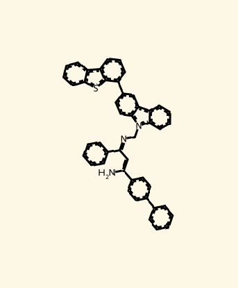 N/C(=C\C(=N/Cn1c2ccccc2c2cc(-c3cccc4c3sc3ccccc34)ccc21)c1ccccc1)c1ccc(-c2ccccc2)cc1